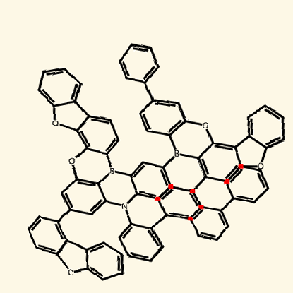 c1ccc(-c2ccc3c(c2)Oc2c4c(cc5oc6ccccc6c25)N(c2ccccc2-c2ccccc2)c2cc5c(cc2B34)B2c3ccc4c(oc6ccccc64)c3Oc3cc(-c4cccc6oc7ccccc7c46)cc(c32)N5c2ccccc2-c2ccccc2)cc1